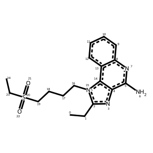 CCc1nc2c(N)nc3ccccc3c2n1CCCCS(=O)(=O)CC